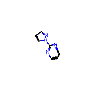 [c]1ccn(-c2ncccn2)n1